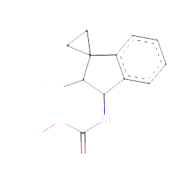 CC(=O)OC1C(NC(=O)OC(C)(C)C)c2ccccc2C12CC2